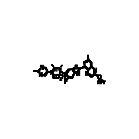 CCCOc1cnc2c(-c3nc4cc(F)c(O[C@@H](C)[C@@H](C)N(C(=O)O)c5cnc(C)nc5)cc4s3)cc(C)cc2n1